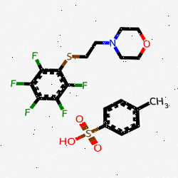 Cc1ccc(S(=O)(=O)O)cc1.Fc1c(F)c(F)c(SCCN2CCOCC2)c(F)c1F